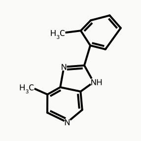 Cc1ccccc1-c1nc2c(C)cncc2[nH]1